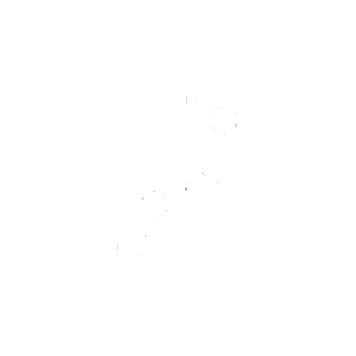 O=C(/C=C/c1cccc(O)c1)/C=C/c1cccc(OC(F)(F)F)c1